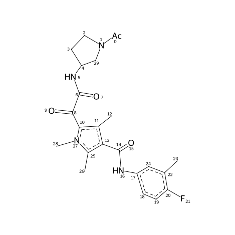 CC(=O)N1CCC(NC(=O)C(=O)c2c(C)c(C(=O)Nc3ccc(F)c(C)c3)c(C)n2C)C1